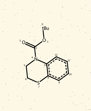 CC(C)(C)OC(=O)N1CCSc2ccccc21